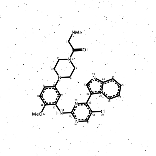 CNCC(=O)N1CCN(c2ccc(OC)c(Nc3ncc(Cl)c(-c4cnc5ccccn45)n3)c2)CC1